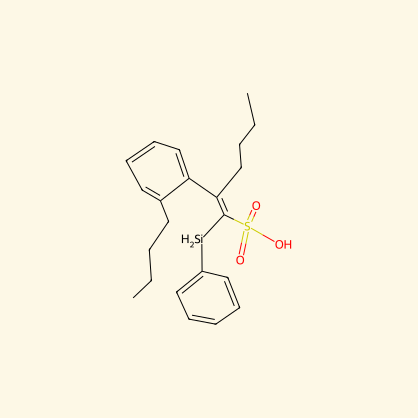 CCCCC(=C([SiH2]c1ccccc1)S(=O)(=O)O)c1ccccc1CCCC